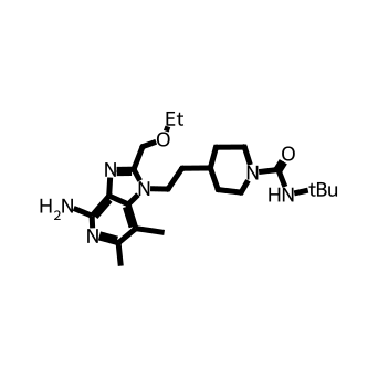 CCOCc1nc2c(N)nc(C)c(C)c2n1CCC1CCN(C(=O)NC(C)(C)C)CC1